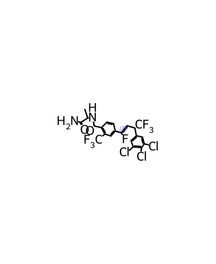 CC(NC(=O)c1ccc(/C(F)=C/C(c2cc(Cl)c(Cl)c(Cl)c2)C(F)(F)F)cc1C(F)(F)F)C(N)=O